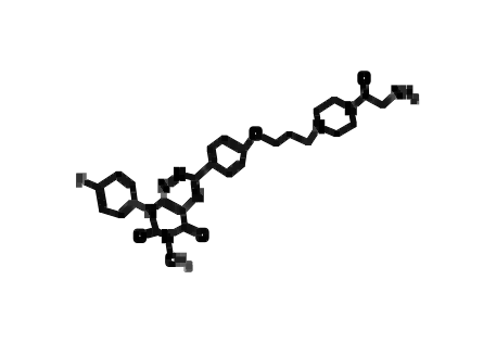 Cn1c(=O)c2nc(-c3ccc(OCCCN4CCN(C(=O)CN)CC4)cc3)nnc2n(-c2ccc(F)cc2)c1=O